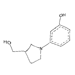 OCC1CCN(c2cccc(O)c2)C1